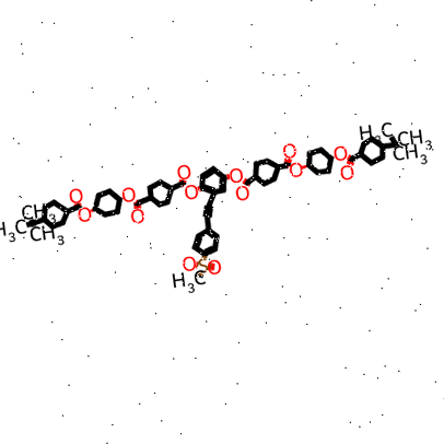 CC(C)(C)C1CCC(C(=O)O[C@H]2CC[C@H](OC(=O)C3CCC(C(=O)Oc4ccc(OC(=O)C5CCC(C(=O)O[C@H]6CC[C@H](OC(=O)C7CCC(C(C)(C)C)CC7)CC6)CC5)c(C#Cc5ccc(S(C)(=O)=O)cc5)c4)CC3)CC2)CC1